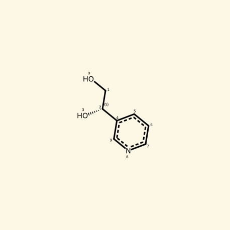 OC[C@@H](O)c1cccnc1